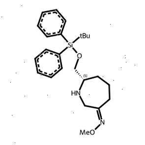 CON=C1CCC[C@@H](CO[Si](c2ccccc2)(c2ccccc2)C(C)(C)C)NC1